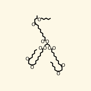 CCCCCOC(C)CC1OC1CCCCCCCC(=O)OC(COC(=O)CCCCCCCC1OC1CC1OC1CCCCC)COC(=O)CCCCCCCC1OC1CC1OC1CCCCC